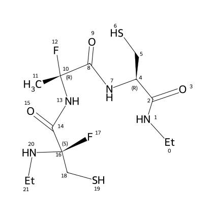 CCNC(=O)[C@H](CS)NC(=O)[C@@](C)(F)NC(=O)[C@](F)(CS)NCC